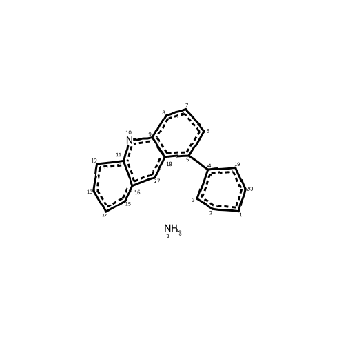 N.c1ccc(-c2cccc3nc4ccccc4cc23)cc1